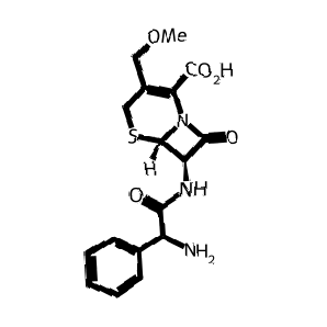 COCC1=C(C(=O)O)N2C(=O)[C@@H](NC(=O)C(N)c3ccccc3)[C@@H]2SC1